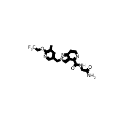 Cc1cc(Cn2cc3c(C(=O)NCC(N)=O)nccc3n2)cnc1OCC(F)(F)F